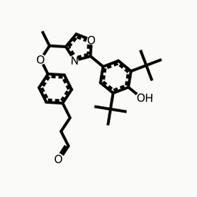 CC(Oc1ccc(CCC=O)cc1)c1coc(-c2cc(C(C)(C)C)c(O)c(C(C)(C)C)c2)n1